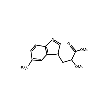 COC(=O)C(Cn1cnc2ccc(C(=O)O)cc21)OC